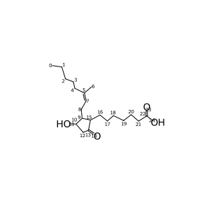 CCCCCC(C)=CCC1C(O)CC(=O)C1CCCCCCC(=O)O